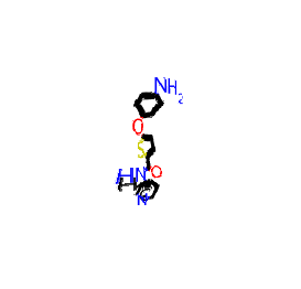 Nc1ccc(Oc2ccc(C(=O)N[C@H]3CN4CCC3CC4)s2)cc1